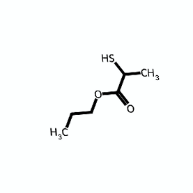 CCCOC(=O)C(C)S